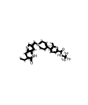 [2H]C([2H])([2H])NC(=O)c1ccc(C2=CCN(Cc3cnc4cc(CC)c(=O)[nH]c4c3)CC2)c(C)n1